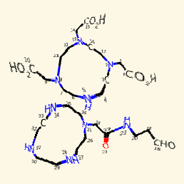 O=C(O)CN1CCNCCN(CC(=O)O)CCN(CC(=O)O)CC1.O=CCCNC(=O)CN1CCNCCNCCNCC1